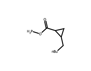 CCCCCC1CC1C(=O)OP